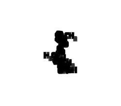 C=CCN(C(=O)OCOC(=O)CC[C@@H](C)C1CCC2C3C[C@H](O)[C@@H]4C[C@H](O)CC[C@]4(C)C3CC[C@@]21C)[C@@H]1CCc2ccccc21